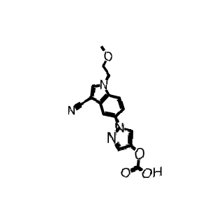 COCCn1cc(C#N)c2cc(-n3cc(OC(=O)O)cn3)ccc21